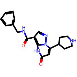 O=C(NCc1ccccc1)c1cnn2c(C3CCNCC3)cc(=O)[nH]c12